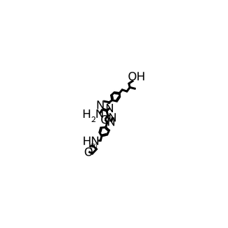 CC(CCO)CCc1ccc(-c2cnc(N)c(-c3nnc(-c4ccc(CN[C@@H]5CCOC5)cc4)o3)n2)cc1